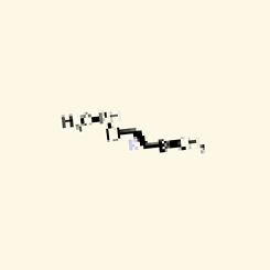 C=B/C=C/BPC